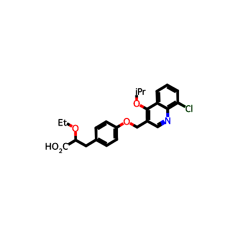 CCOC(Cc1ccc(OCc2cnc3c(Cl)cccc3c2OC(C)C)cc1)C(=O)O